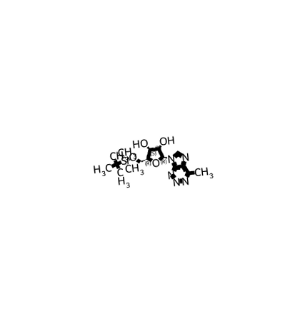 Cc1nnnc2c1ncn2[C@@H]1O[C@H](CO[Si](C)(C)C(C)(C)C)[C@@H](O)[C@H]1O